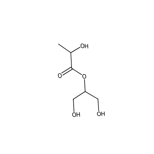 CC(O)C(=O)OC(CO)CO